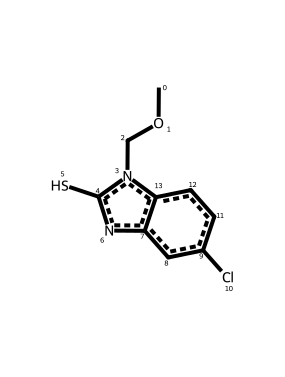 COCn1c(S)nc2cc(Cl)ccc21